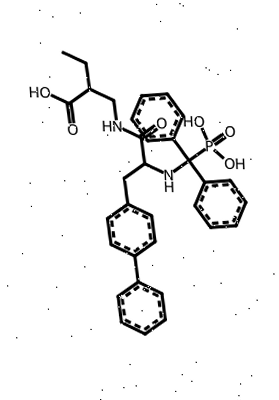 CCC(CNC(=O)C(Cc1ccc(-c2ccccc2)cc1)NC(c1ccccc1)(c1ccccc1)P(=O)(O)O)C(=O)O